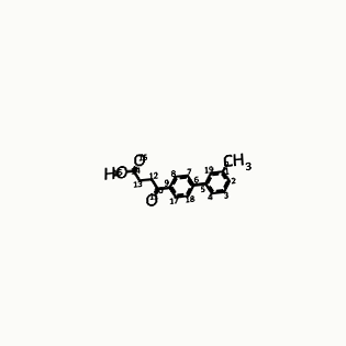 Cc1cccc(-c2ccc(C(=O)CCC(=O)O)cc2)c1